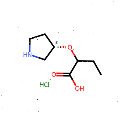 CCC(O[C@H]1CCNC1)C(=O)O.Cl